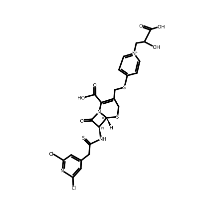 O=C(O)C1=C(CSc2cc[n+](CC(O)C(=O)O)cc2)CS[C@@H]2[C@@H](NC(=S)Cc3cc(Cl)nc(Cl)c3)C(=O)N12